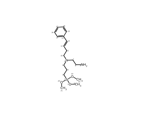 CO[Si](CCCN(CCN)CCC=Cc1ccccc1)(OC)OC